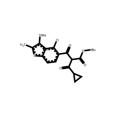 COc1c(C)sc2ccc(C(=O)C(C(=O)OC(C)(C)C)C(=O)C3CC3)c(Cl)c12